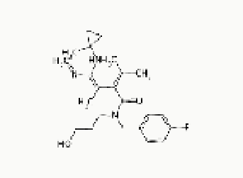 C=N/C(NC1(C)CC1)=C(\C)C(C(=O)N(CCCO)Cc1ccc(F)cc1)=C(C)C